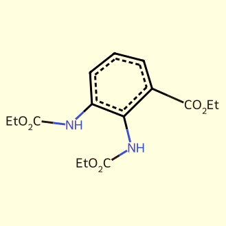 CCOC(=O)Nc1cccc(C(=O)OCC)c1NC(=O)OCC